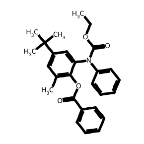 CCOC(=O)N(c1ccccc1)c1cc(C(C)(C)C)cc(C)c1OC(=O)c1ccccc1